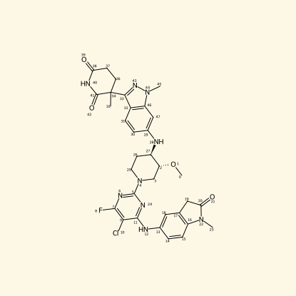 CO[C@@H]1CN(c2nc(F)c(Cl)c(Nc3ccc4c(c3)CC(=O)N4C)n2)CC[C@H]1Nc1ccc2c(C3(C)CCC(=O)NC3=O)nn(C)c2c1